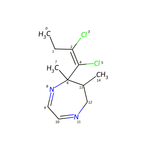 CC/C(Cl)=C(/Cl)C1(C)N=CC=NCC1C